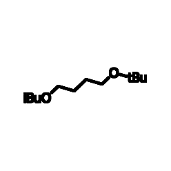 CC(C)COCCCCOC(C)(C)C